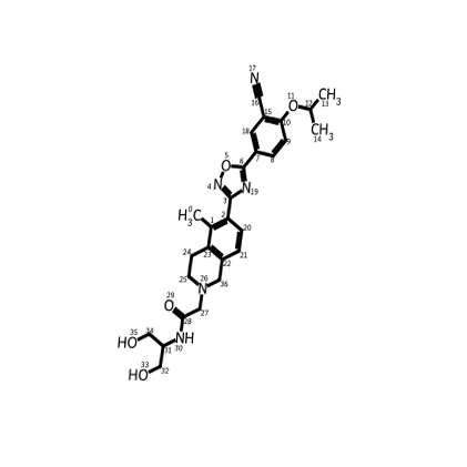 Cc1c(-c2noc(-c3ccc(OC(C)C)c(C#N)c3)n2)ccc2c1CCN(CC(=O)NC(CO)CO)C2